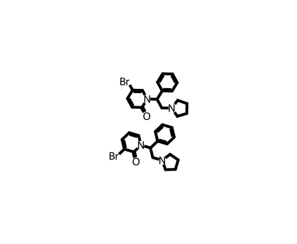 O=c1c(Br)cccn1C(CN1CCCC1)c1ccccc1.O=c1ccc(Br)cn1C(CN1CCCC1)c1ccccc1